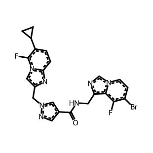 O=C(NCc1ncn2ccc(Br)c(F)c12)c1cnn(Cc2cn3c(F)c(C4CC4)ccc3n2)c1